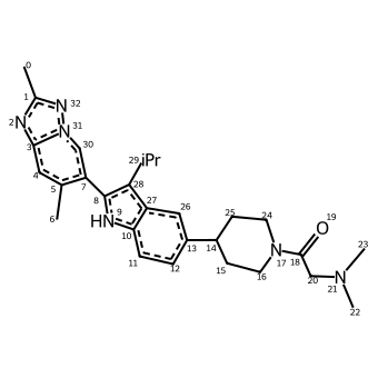 Cc1nc2cc(C)c(-c3[nH]c4ccc(C5CCN(C(=O)CN(C)C)CC5)cc4c3C(C)C)cn2n1